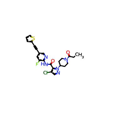 CCC(=O)N1CCC(n2ncc(Cl)c2C(=O)Nc2ncc(C#Cc3cccs3)cc2F)CC1